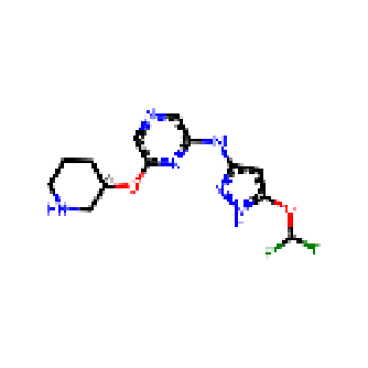 FC(F)Oc1cc(Nc2cncc(O[C@@H]3CCCNC3)n2)n[nH]1